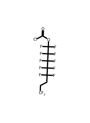 O=C(Cl)OC(F)(F)C(F)(F)C(F)(F)C(F)(F)C(F)(F)CCC(F)(F)F